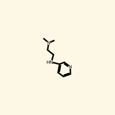 CN(C)CCNc1[c]nccc1